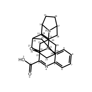 O=C(O)c1nc2ccccc2n(C2CC3CCC(C2)N3C23CC4CC(CC(C4)C2)C3)c1=O